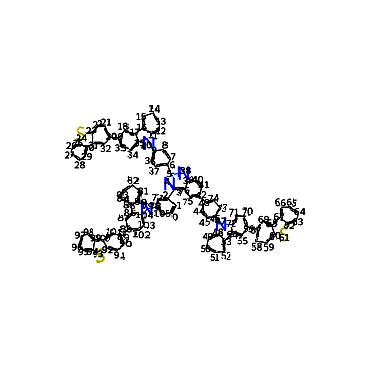 c1cc(-c2nc(-c3ccc(-n4c5ccccc5c5cc(-c6ccc7sc8ccccc8c7c6)ccc54)cc3)nc3ccc(-c4ccc(-n5c6ccccc6c6cc(-c7ccc8sc9ccccc9c8c7)ccc65)cc4)cc23)cc(-n2c3ccccc3c3cc(-c4ccc5sc6ccccc6c5c4)ccc32)c1